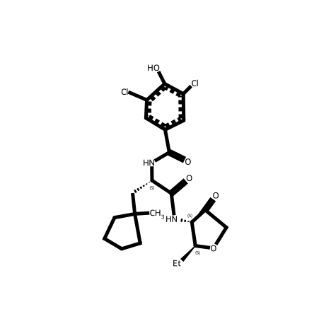 CC[C@@H]1OCC(=O)[C@H]1NC(=O)[C@H](CC1(C)CCCC1)NC(=O)c1cc(Cl)c(O)c(Cl)c1